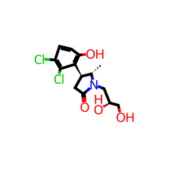 C[C@H]1[C@H](c2c(O)ccc(Cl)c2Cl)CC(=O)N1C[C@H](O)CO